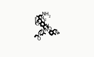 C=CC(=O)N1CCN(c2nc(Oc3cccc4c3CCN(C)C4)nc3c(F)c(-c4nc(N)cc(C)c4C(F)(F)F)c(Cl)cc23)C(C)C1